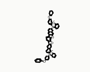 Cc1ccccc1N(c1ccc(Oc2ccccc2)cc1)c1ccc2cc3c(cc2c1)oc1c3ccc2c3cc4ccc(N(c5ccc(Oc6ccccc6)cc5)c5ccccc5C)cc4cc3oc21